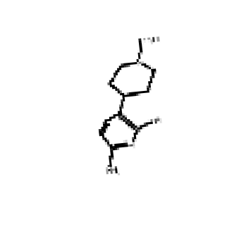 CCCc1nc(N)ccc1C1CCN(C(=O)O)CC1